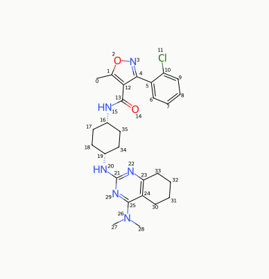 Cc1onc(-c2ccccc2Cl)c1C(=O)N[C@H]1CC[C@@H](Nc2nc3c(c(N(C)C)n2)CCCC3)CC1